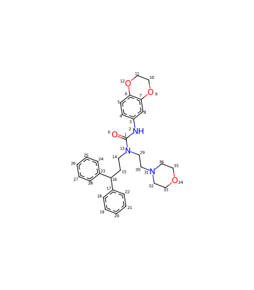 O=C(Nc1ccc2c(c1)OCCO2)N(CCC(c1ccccc1)c1ccccc1)CCN1CCOCC1